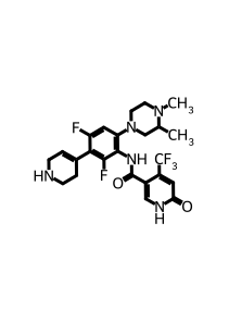 CC1CN(c2cc(F)c(C3=CCNCC3)c(F)c2NC(=O)c2c[nH]c(=O)cc2C(F)(F)F)CCN1C